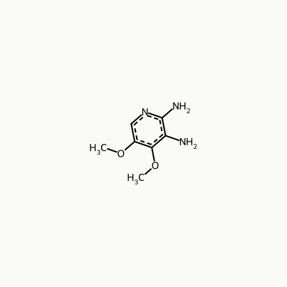 COc1cnc(N)c(N)c1OC